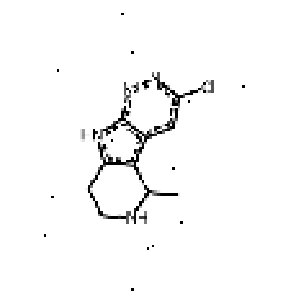 CC1NCCc2[nH]c3nnc(Cl)cc3c21